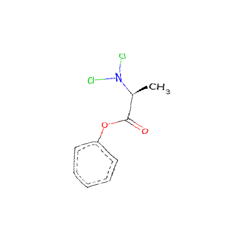 C[C@@H](C(=O)Oc1ccccc1)N(Cl)Cl